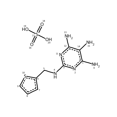 Nc1nc(NCc2cccs2)nc(N)c1N.O=S(=O)(O)O